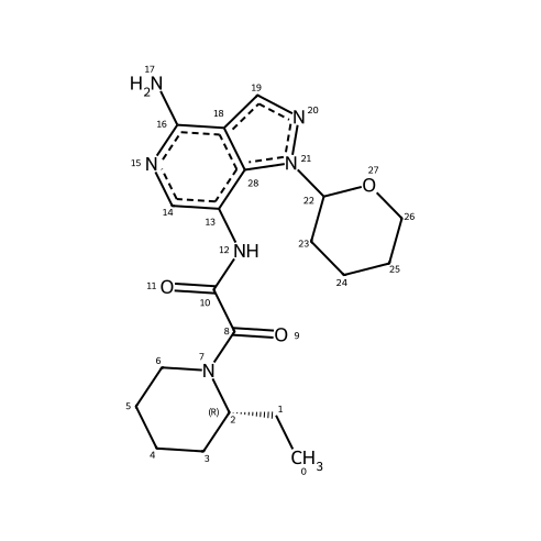 CC[C@@H]1CCCCN1C(=O)C(=O)Nc1cnc(N)c2cnn(C3CCCCO3)c12